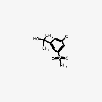 CC(C)(O)c1cc(Cl)cc(S(N)(=O)=O)c1